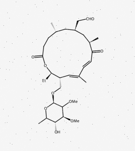 CC[C@H]1OC(=O)CC[C@H](C)C[C@@H](CC=O)C[C@@H](C)C(=O)/C=C/C(C)=C/[C@@H]1CO[C@@H]1OC(C)[C@@H](O)[C@H](OC)C1OC